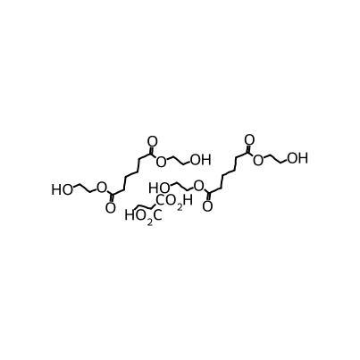 O=C(CCCCC(=O)OCCO)OCCO.O=C(CCCCC(=O)OCCO)OCCO.O=C(O)CCC(=O)O